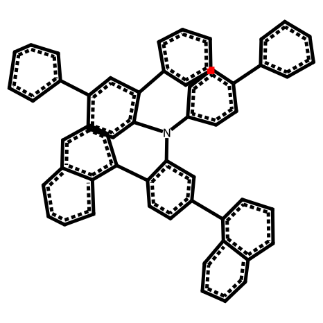 c1ccc(-c2ccc(N(c3ccc(-c4ccccc4)cc3-c3ccccc3)c3cc(-c4cccc5ccccc45)ccc3-c3cccc4ccccc34)cc2)cc1